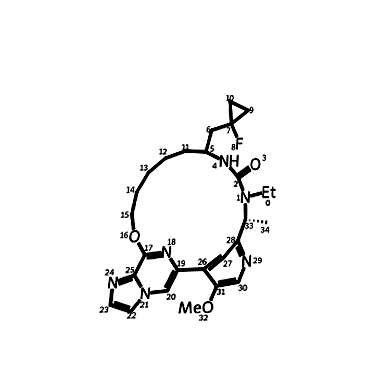 CCN1C(=O)NC(CC2(F)CC2)CCCCCOc2nc(cn3ccnc23)-c2cc(ncc2OC)[C@H]1C